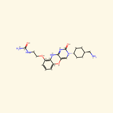 NC[C@H]1CC[C@H](n2cc3c(nc2=O)Nc2c(OCCNC(N)=O)cccc2O3)CC1